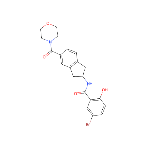 O=C(NC1Cc2ccc(C(=O)N3CCOCC3)cc2C1)c1cc(Br)ccc1O